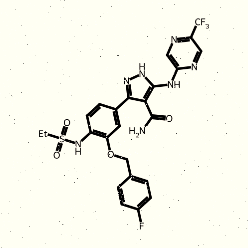 CCS(=O)(=O)Nc1ccc(-c2n[nH]c(Nc3cnc(C(F)(F)F)cn3)c2C(N)=O)cc1OCc1ccc(F)cc1